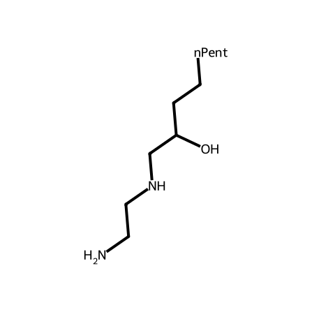 CCCCCCCC(O)CNCCN